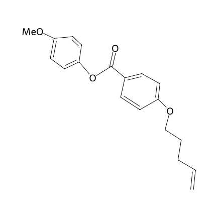 C=CCCCOc1ccc(C(=O)Oc2ccc(OC)cc2)cc1